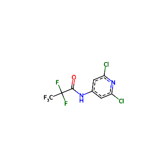 O=C(Nc1cc(Cl)nc(Cl)c1)C(F)(F)C(F)(F)F